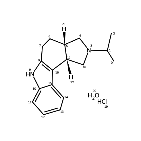 CC(C)N1C[C@H]2CCc3[nH]c4ccccc4c3[C@H]2C1.Cl.O